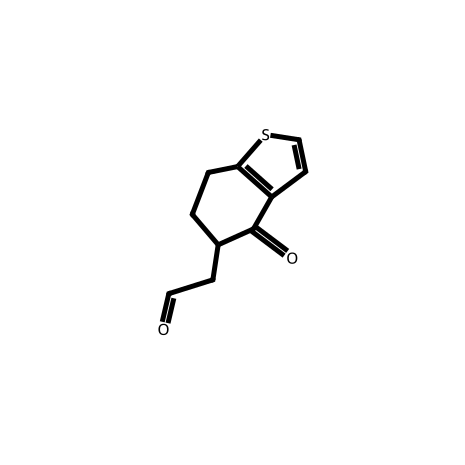 O=CCC1CCc2sccc2C1=O